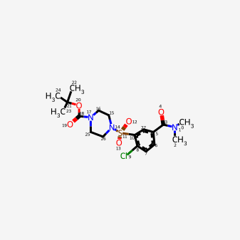 CN(C)C(=O)c1ccc(Cl)c(S(=O)(=O)N2CCN(C(=O)OC(C)(C)C)CC2)c1